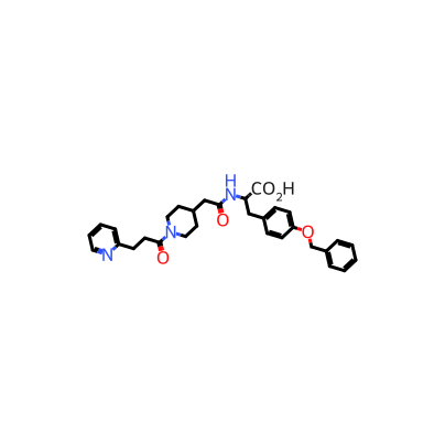 O=C(CC1CCN(C(=O)CCc2ccccn2)CC1)NC(Cc1ccc(OCc2ccccc2)cc1)C(=O)O